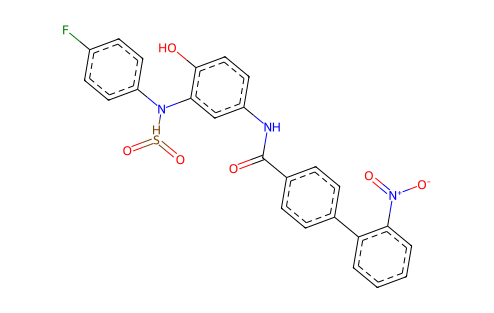 O=C(Nc1ccc(O)c(N(c2ccc(F)cc2)[SH](=O)=O)c1)c1ccc(-c2ccccc2[N+](=O)[O-])cc1